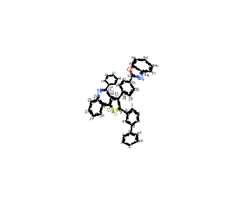 c1ccc(-c2cccc(-c3sc4c(c(-c5ccccc5)nc5ccccc54)c3-c3ccc(-c4nc5ccccc5o4)cc3)c2)cc1